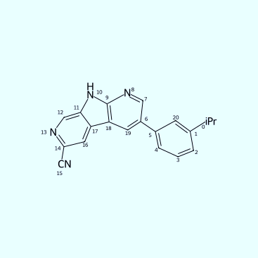 CC(C)c1cccc(-c2cnc3[nH]c4cnc(C#N)cc4c3c2)c1